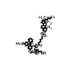 COc1ccc(C(OCC2CN(C(=O)CCCCCNC(=O)OC3CC[C@@]4(C)C(=CCC5C4CC[C@@]4(C)C5CC[C@@H]4C(C)CCCC(C)C)C3)CC2OP(OCCC#N)N(C(C)C)C(C)C)(c2ccccc2)c2ccc(OC)cc2)cc1